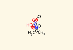 Cc1cc(C)cc(N(C(=O)N2CCN(C(=O)OCc3ccccc3)CC2C(=O)O)c2ccccc2)c1